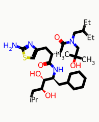 CCC(CC)CN(CC(C)(C)O)C(=O)C[C@@H](Cc1csc(N)n1)C(=O)N[C@@H](CC1CCCCC1)[C@@H](O)[C@@H](O)CC(C)C